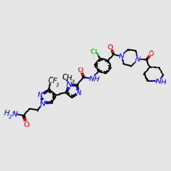 Cn1c(-c2cn(CCC(N)=O)nc2C(F)(F)F)cnc1C(=O)Nc1ccc(C(=O)N2CCN(C(=O)C3CCNCC3)CC2)c(Cl)c1